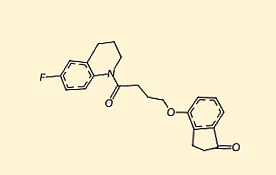 O=C1CCc2c(OCCCC(=O)N3CCCc4cc(F)ccc43)cccc21